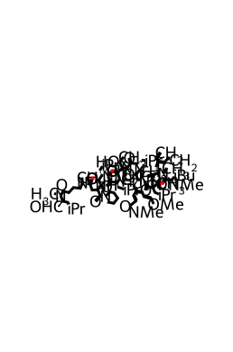 C=C/C=C(\C=C)C[C@@H](C(=O)N(C)C(CC(C)C)C(=O)N[C@@H](CC(=C/C=C/OC)/C=C/C(=O)NC)C(=O)N(C)[C@@H](CC(C)C)C(=O)NC(C(=O)N(C)[C@@H](CC(C)C)C(=O)N(C)[C@@H](CC(C)C)C(=O)NC(CC(=O)N(C)CCCC(=O)N(C)[C@H](C=O)CC(C)C)C(=O)N1CCCCC1)C(C)O)N(C)C(=O)[C@@H](NC)C(C)CC